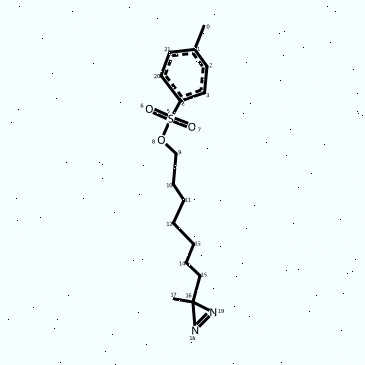 Cc1ccc(S(=O)(=O)OCCCCCCCC2(C)N=N2)cc1